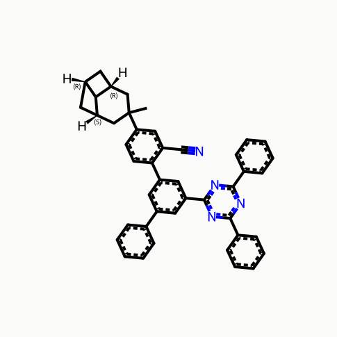 CC1(c2ccc(-c3cc(-c4ccccc4)cc(-c4nc(-c5ccccc5)nc(-c5ccccc5)n4)c3)c(C#N)c2)C[C@H]2C[C@H]3C[C@@H](C1)C32